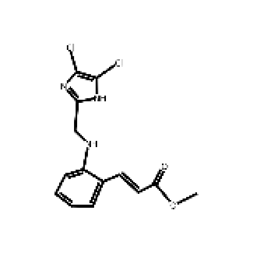 COC(=O)C=Cc1ccccc1NCc1nc(Cl)c(Cl)[nH]1